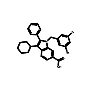 O=C(O)c1ccc2c(C3CCCCC3)c(-c3ccccc3)n(Cc3cc(Br)cc(Br)c3)c2c1